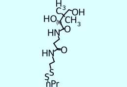 CCCSSCCNC(=O)CCNC(=O)[C@H](O)C(C)(C)CO